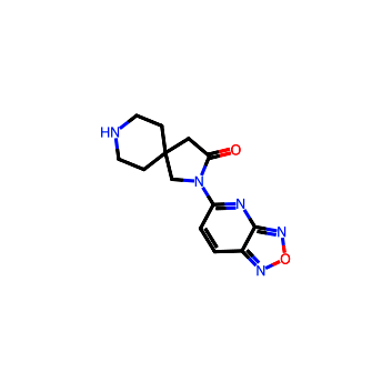 O=C1CC2(CCNCC2)CN1c1ccc2nonc2n1